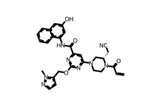 C=CC(=O)N1CCN(c2cc(C(=O)Nc3cc(O)cc4ccccc34)nc(OCc3ccnn3C)n2)C[C@@H]1CC#N